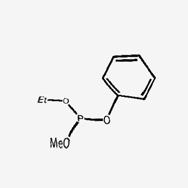 CCOP(OC)Oc1ccccc1